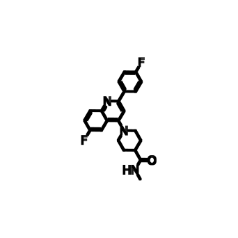 CNC(=O)C1CCN(c2cc(-c3ccc(F)cc3)nc3ccc(F)cc23)CC1